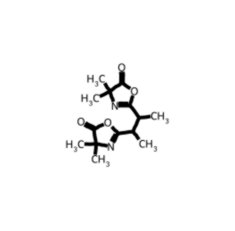 CC(C1=NC(C)(C)C(=O)O1)C(C)C1=NC(C)(C)C(=O)O1